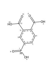 O=C(O)c1ccc([PH](=O)O)cc1C(=O)O